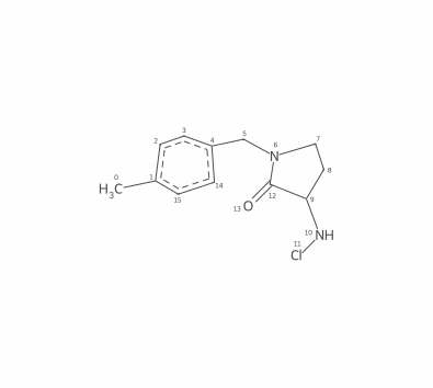 Cc1ccc(CN2CCC(NCl)C2=O)cc1